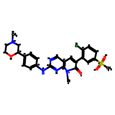 CCn1c(=O)c(-c2cc(S(C)(=O)=O)ccc2Cl)cc2cnc(Nc3ccc(C4CN(C)CCO4)cc3)nc21